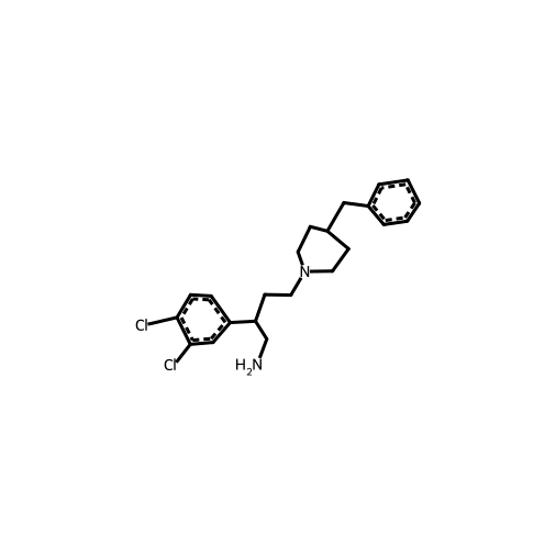 NCC(CCN1CCC(Cc2ccccc2)CC1)c1ccc(Cl)c(Cl)c1